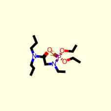 CCCN(CCC)C(=O)CN(CC)P(=S)(OCC)OCC